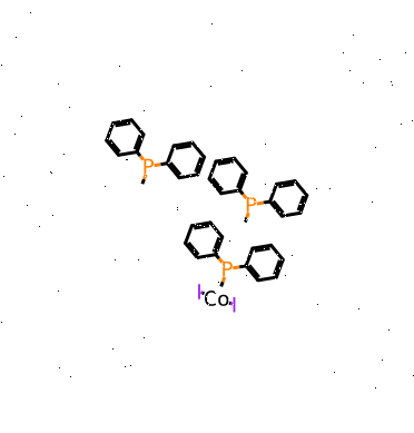 CP(c1ccccc1)c1ccccc1.CP(c1ccccc1)c1ccccc1.CP(c1ccccc1)c1ccccc1.[I][Co][I]